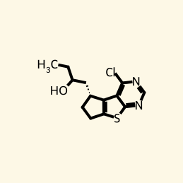 CCC(O)C[C@H]1CCc2sc3ncnc(Cl)c3c21